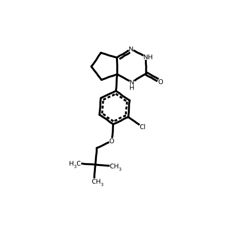 CC(C)(C)COc1ccc(C23CCCC2=NNC(=O)N3)cc1Cl